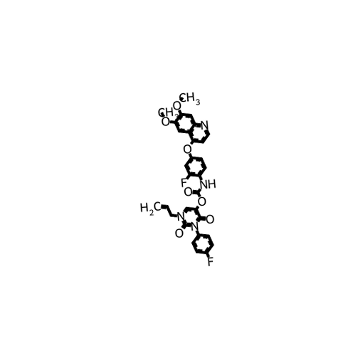 C=CCn1cc(OC(=O)Nc2ccc(Oc3ccnc4cc(OC)c(OC)cc34)cc2F)c(=O)n(-c2ccc(F)cc2)c1=O